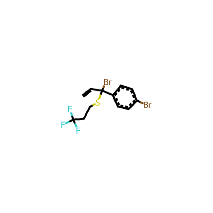 C=CC(Br)(SCCC(F)(F)F)c1ccc(Br)cc1